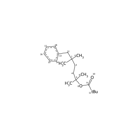 CC(C)(CCC(C)(C)OC(=O)C(C)(C)C)Cc1ccccc1